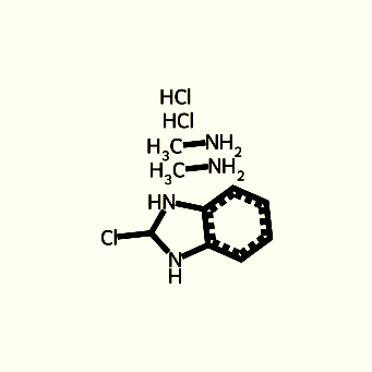 CN.CN.Cl.Cl.ClC1Nc2ccccc2N1